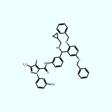 N#Cc1cccc(-n2nc(C(F)(F)F)c(I)c2C(=O)Nc2cccc(C(NCC3CC3)c3cc(OCc4ccccc4)ccc3OCc3ccccc3)c2)c1